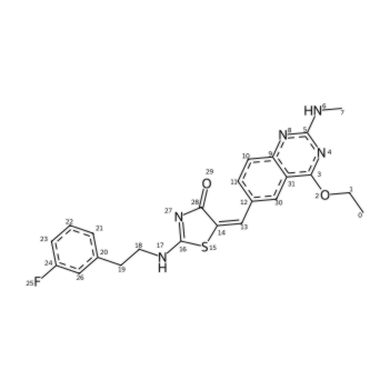 CCOc1nc(NC)nc2ccc(/C=C3/SC(NCCc4cccc(F)c4)=NC3=O)cc12